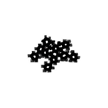 Fc1cccc(-c2ccc(-c3ccccc3)cc2)c1N1c2ccccc2B2c3cc(-c4ccccc4)ccc3N3c4ccc(-c5ccccc5)cc4B4c5ccccc5Sc5cc1c2c3c54